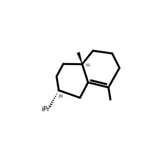 CC1=C2C[C@H](C(C)C)CC[C@]2(C)CCC1